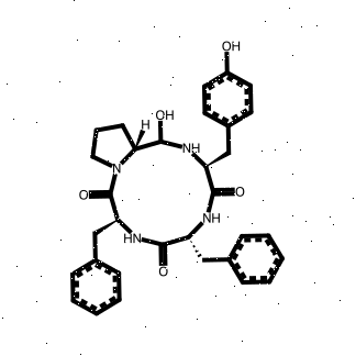 O=C1N[C@H](Cc2ccccc2)C(=O)N[C@@H](Cc2ccccc2)C(=O)N2CCC[C@@H]2C(O)N[C@H]1Cc1ccc(O)cc1